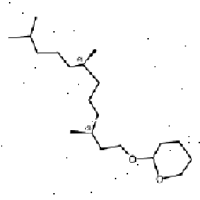 CC(C)CCC[C@@H](C)CCC[C@H](C)CCOC1CCCCO1